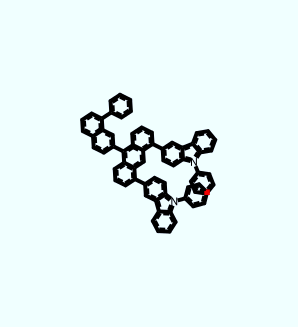 c1ccc(-c2cccc3ccc(-c4c5cccc(-c6ccc7c(c6)c6ccccc6n7-c6ccccc6)c5cc5c(-c6ccc7c(c6)c6ccccc6n7-c6ccccc6)cccc45)cc23)cc1